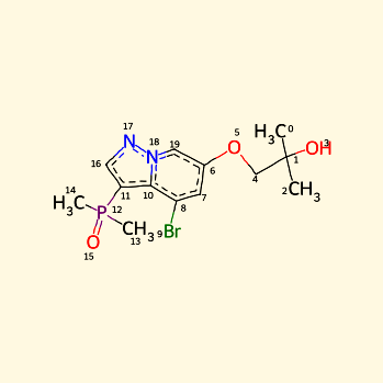 CC(C)(O)COc1cc(Br)c2c(P(C)(C)=O)cnn2c1